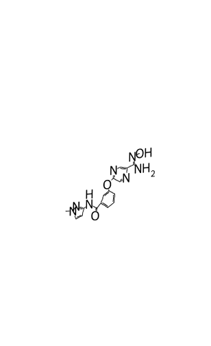 Cn1ccc(NC(=O)c2cccc(Oc3cnc(/C(N)=N/O)cn3)c2)n1